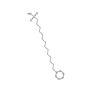 O=S(=O)(O)CCCCCCCCCCCCCCc1ccccc1